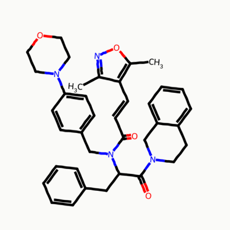 Cc1noc(C)c1C=CC(=O)N(Cc1ccc(N2CCOCC2)cc1)C(Cc1ccccc1)C(=O)N1CCc2ccccc2C1